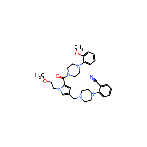 COCCn1cc(CN2CCN(c3ccccc3C#N)CC2)cc1C(=O)N1CCN(c2ccccc2OC)CC1